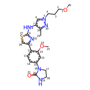 COCCCn1cc(Nc2nc(-c3ccc(N4CCNC4=O)cc3OC)cs2)c(C)n1